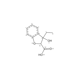 CCC1(O)c2ccccc2OC1C(=O)O